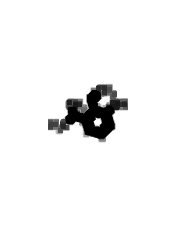 C=Cc1c(O)cccc1[C](C)C